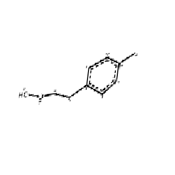 Cc1ccc(CCOO)cc1